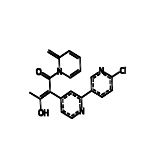 C=C1C=CC=CN1C(=O)/C(=C(\C)O)c1ccnc(-c2ccc(Cl)nc2)c1